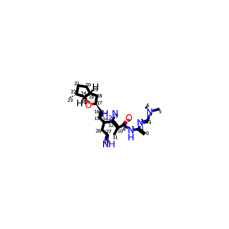 C=C(/N=C/N(C)C)NC(=O)/C(C)=C(\N)C(/C=C/[C@@H]1C[C@H]2CC[C@@H](C)[C@H]2O1)CC=N